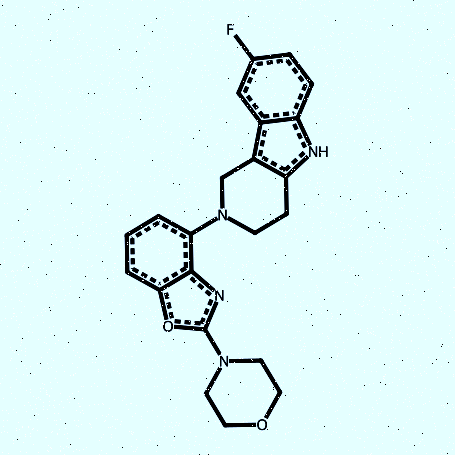 Fc1ccc2[nH]c3c(c2c1)CN(c1cccc2oc(N4CCOCC4)nc12)CC3